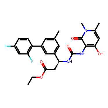 CCOC(=O)C[C@H](NC(=O)Nc1c(O)cc(C)n(C)c1=O)c1cc(C)cc(-c2ccc(F)cc2F)c1